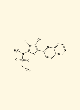 CCS(=O)(=O)N(C)c1oc(-c2ccc3ccccc3n2)c(O)c1O